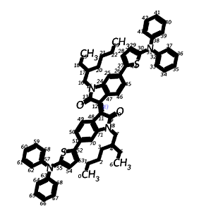 CCCCC(CC)CN1C(=O)/C(=C2/C(=O)N(CC(CC)CCCC)c3cc(-c4ccc(N(c5ccccc5)c5ccccc5)s4)ccc32)c2ccc(-c3ccc(N(c4ccccc4)c4ccccc4)s3)cc21